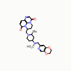 CC(C)(C)C1CC(N(Cc2cc3c(cn2)OCCO3)C(=O)O)CCN1CC1CCn2c(=O)cnc3ccc(=O)n1c32